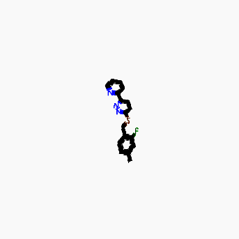 Cc1ccc(CSc2ccc(-c3ccccn3)nn2)c(F)c1